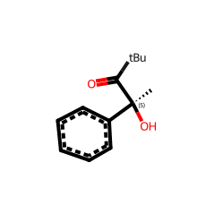 CC(C)(C)C(=O)[C@@](C)(O)c1ccccc1